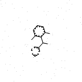 NC(c1ncon1)c1c(Cl)cccc1Cl